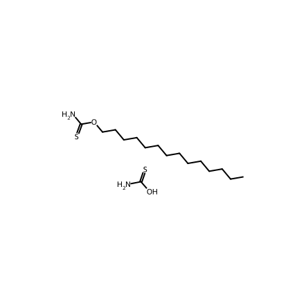 CCCCCCCCCCCCCCOC(N)=S.NC(O)=S